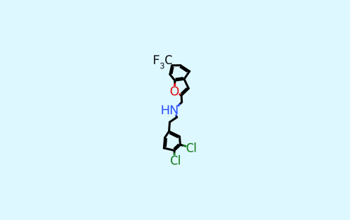 FC(F)(F)c1ccc2cc(CNCCc3ccc(Cl)c(Cl)c3)oc2c1